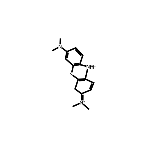 CN(C)c1ccc2c(c1)SC1=C(C=CC(=[N+](C)C)C1)N2.[Cl-]